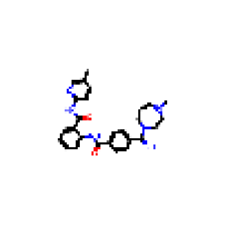 Cc1ccc(NC(=O)c2ccccc2NC(=O)c2ccc(C(=N)N3CCCN(C)CC3)cc2)nc1